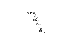 CCCCCCCCCNCCCCCN